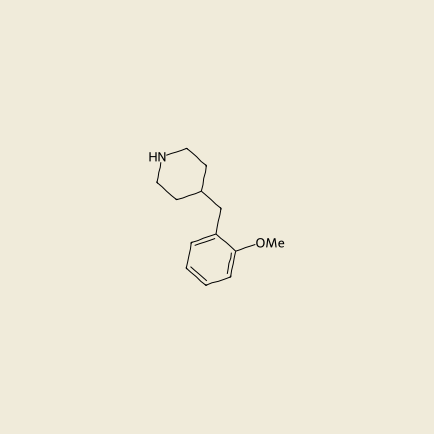 COc1ccccc1CC1CCNCC1